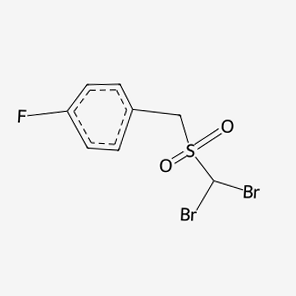 O=S(=O)(Cc1ccc(F)cc1)C(Br)Br